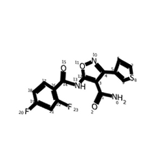 NC(=O)c1c(-c2ccsc2)noc1NC(=O)c1ccc(F)cc1F